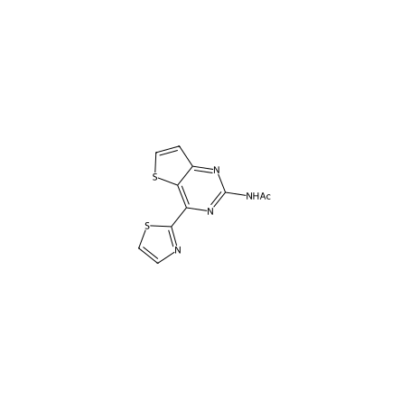 CC(=O)Nc1nc(-c2nccs2)c2sccc2n1